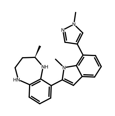 C[C@@H]1CCNc2cccc(-c3cc4cccc(-c5cnn(C)c5)c4n3C)c2N1